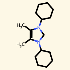 CC1=C(C)N(C2CCCCC2)CN1C1CCCCC1